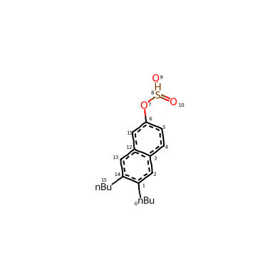 CCCCc1cc2ccc(O[SH](=O)=O)cc2cc1CCCC